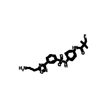 CC(C)(CF)C(=O)Nc1ccc(NS(=O)(=O)c2cccc(-c3noc(CCN)n3)c2)cc1